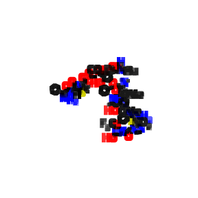 CC(C)(C)NCC(O)c1ccc(O)c(CO)c1.CCC(C)(CN(C)C)OC(=O)c1ccccc1.CCOC(=O)OC(C)OC(=O)[C@@H]1N2C(=O)[C@@H](NC(=O)[C@H](N)c3ccccc3)[C@H]2SC1(C)C.COc1ccc(OC)c(C(O)C(C)N)c1.Nc1nc2ccc(OC(F)(F)F)cc2s1.O=C(Cn1ccnc1[N+](=O)[O-])NCCO